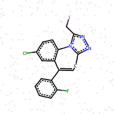 Fc1ccccc1C1=CCc2nnc(CI)n2-c2ccc(Cl)cc21